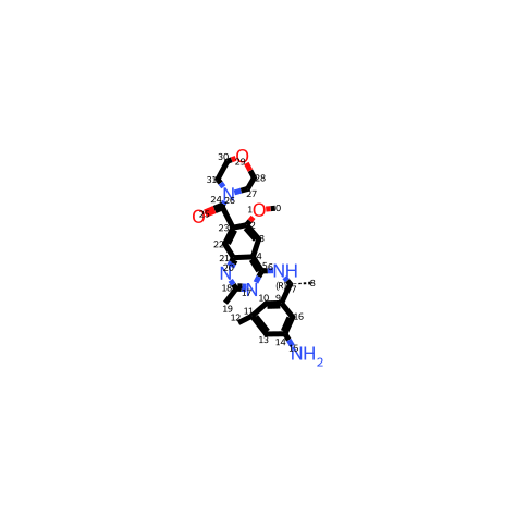 COc1cc2c(N[C@H](C)c3cc(C)cc(N)c3)nc(C)nc2cc1C(=O)N1CCOCC1